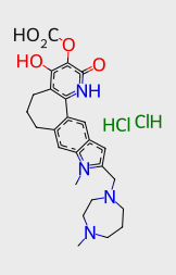 CN1CCCN(Cc2cc3cc4c(cc3n2C)CCCc2c-4[nH]c(=O)c(OC(=O)O)c2O)CC1.Cl.Cl